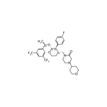 C[C@@H](O[C@H]1OCC[C@@H](CN2CCN(C3CCOCC3)CC2=O)[C@@H]1c1ccc(F)cc1)c1cc(C(F)(F)F)cc(C(F)(F)F)c1